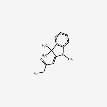 CC(=O)CC(=O)C=C1N(C)c2ccccc2C1(C)C